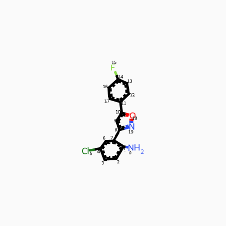 Nc1ccc(Cl)cc1-c1cc(-c2ccc(F)cc2)on1